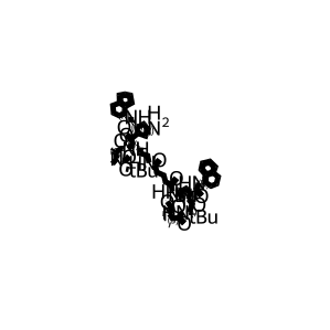 C[C@@H](C(=O)N[C@@H](CCCNC(=O)CCCC(=O)N[C@H]1C[C@@H](C(=O)N[C@@H]2CCCc3ccccc32)N(C(=O)[C@@H](NC(=O)[C@H](C)N(C)C(=O)OC(C)(C)C)C(C)(C)C)C1)C(=O)C1C[C@@H](N)C[C@H]1C(=O)N[C@@H]1CCCc2ccccc21)N(C)C(=O)OC(C)(C)C